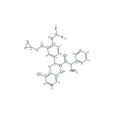 NC(C(=O)OC(Cc1c(Cl)cncc1Cl)c1ccc(OC(F)F)c(OCC2CC2)c1)c1ccccc1